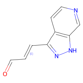 O=C/C=C/c1n[nH]c2cnccc12